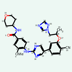 COc1cc(C(=O)NC2CCOCC2)ccc1Nc1ncc(-c2ccc(C#N)c(OC(C)Cn3cncn3)c2)cn1